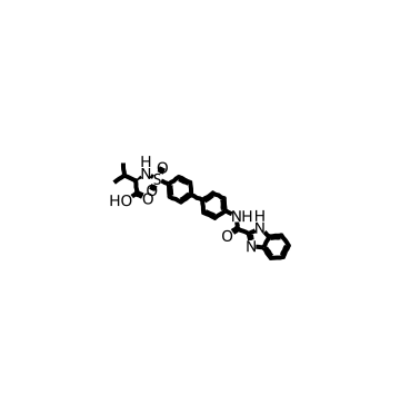 CC(C)[C@@H](NS(=O)(=O)c1ccc(-c2ccc(NC(=O)c3nc4ccccc4[nH]3)cc2)cc1)C(=O)O